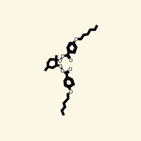 [CH2]C1CCC([CH2])(OOC(=O)c2ccc(OCCCCCC)cc2)C(OOC(=O)c2ccc(OCCCCCC)cc2)C1